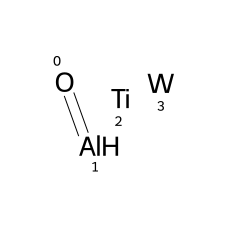 [O]=[AlH].[Ti].[W]